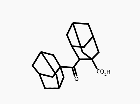 O=C(C1C2CC3CC(C2)CC1(C(=O)O)C3)C12CC3CC(CC(C3)C1)C2